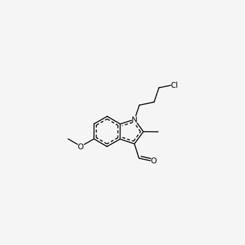 COc1ccc2c(c1)c(C=O)c(C)n2CCCCl